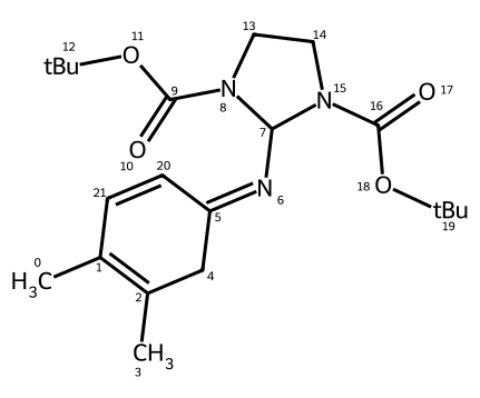 CC1=C(C)CC(=NC2N(C(=O)OC(C)(C)C)CCN2C(=O)OC(C)(C)C)C=C1